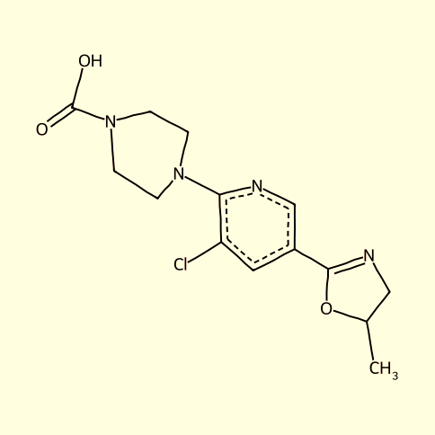 CC1CN=C(c2cnc(N3CCN(C(=O)O)CC3)c(Cl)c2)O1